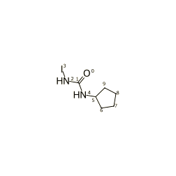 O=C(NI)NC1CCCC1